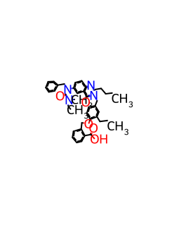 CCCCc1nc2ccc(N(Cc3ccccc3)C(=O)N(C)CC)cc2c(=O)n1Cc1ccc(OCc2ccccc2C(=O)O)c(CCC)c1